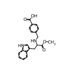 COC(=O)C(Cc1c[nH]c2ccccc12)NCc1ccc(C(=O)O)cc1